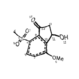 COc1ccc(S(C)(=O)=O)c2c1C(O)CC2=O